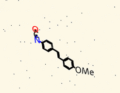 COc1ccc(C=Cc2ccc(N=C=O)cc2)cc1